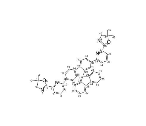 CC1(C)CN=C(c2cccc(-c3ccc4c(c3)C3(c5ccccc5-c5ccccc53)c3cc(-c5cccc(C6=NCC(C)(C)O6)n5)ccc3-4)n2)O1